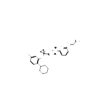 Cc1ccc(C2CCCCC2)c(OC2(C(=O)NS(=O)(=O)c3cccc(NC[C@H](C)O)n3)CC2)c1